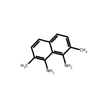 Cc1ccc2ccc(C)c(N)c2c1N